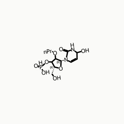 CCCOC1C(O[PH](=O)O)[C@@H](CO)O[C@H]1N1C=CC(O)NC1=O